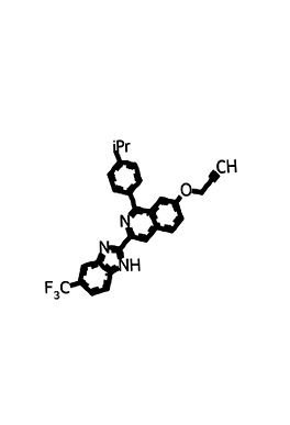 C#CCOc1ccc2cc(-c3nc4cc(C(F)(F)F)ccc4[nH]3)nc(-c3ccc(C(C)C)cc3)c2c1